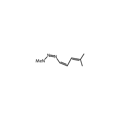 CN/N=N\C=C/C=C(C)C